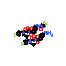 C[C@H](C1CC1)N(Cc1ccc(F)cc1)C(=O)CN1C(=O)O[C@@]2(CCc3cc(N)ccc32)C1=O.C[C@H](C1CC1)N(Cc1ccc(F)cc1)C(=O)CN1C(=O)O[C@@]2(CCc3cc(NC(=O)N4CC(F)(F)C4)ccc32)C1=O